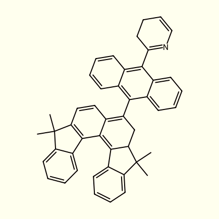 CC1(C)c2ccccc2-c2c1ccc1c2=C2c3ccccc3C(C)(C)C2CC=1c1c2ccccc2c(C2=NC=CCC2)c2ccccc12